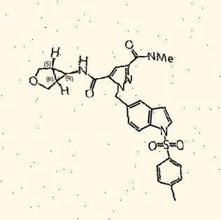 CNC(=O)c1cc(C(=O)N[C@H]2[C@@H]3COC[C@@H]32)n(Cc2ccc3c(ccn3S(=O)(=O)c3ccc(C)cc3)c2)n1